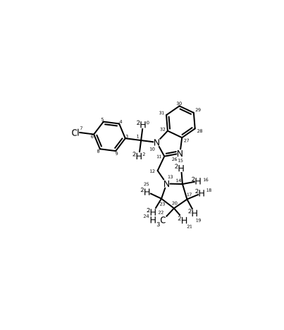 [2H]C([2H])(c1ccc(Cl)cc1)n1c(CN2C([2H])([2H])C([2H])([2H])C([2H])(C)C2([2H])[2H])nc2ccccc21